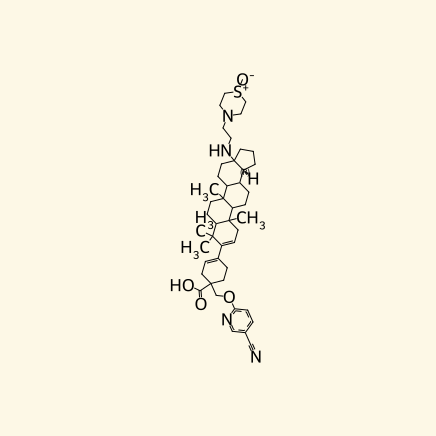 CC1(C)C(C2=CCC(COc3ccc(C#N)cn3)(C(=O)O)CC2)=CCC2(C)C1CCC1(C)C3CCC4(NCCN5CC[S+]([O-])CC5)CCC[C@@H]4C3CCC12